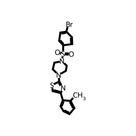 Cc1ccccc1-c1csc(N2CCN(S(=O)(=O)c3ccc(Br)cc3)CC2)n1